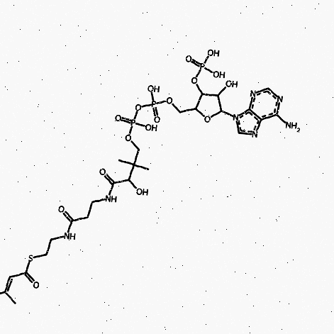 CC(C)=CC(=O)SCCNC(=O)CCNC(=O)C(O)C(C)(C)COP(=O)(O)OP(=O)(O)OCC1OC(n2cnc3c(N)ncnc32)C(O)C1OP(=O)(O)O